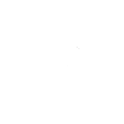 CC(C)(C=N)CO